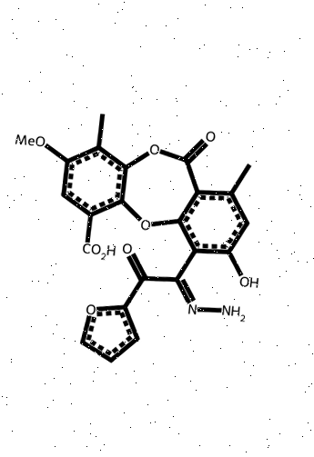 COc1cc(C(=O)O)c2c(c1C)OC(=O)c1c(C)cc(O)c(/C(=N\N)C(=O)c3ccco3)c1O2